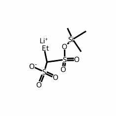 CCC(S(=O)(=O)[O-])S(=O)(=O)O[Si](C)(C)C.[Li+]